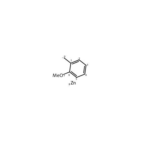 [CH2]c1ccccc1OC.[Zn]